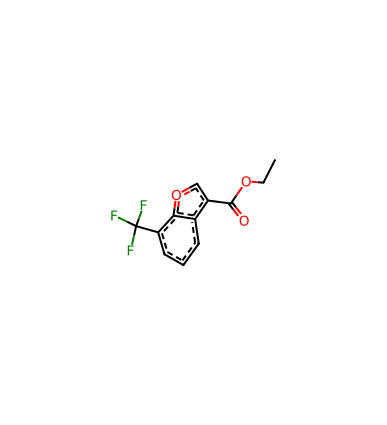 CCOC(=O)c1coc2c(C(F)(F)F)cccc12